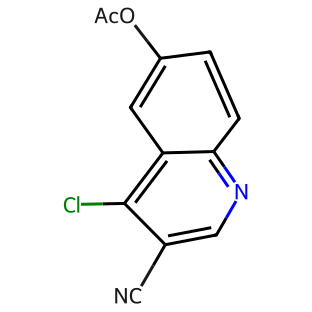 CC(=O)Oc1ccc2ncc(C#N)c(Cl)c2c1